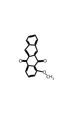 COc1cccc2c1C(=O)c1cc3ccccc3cc1C2=O